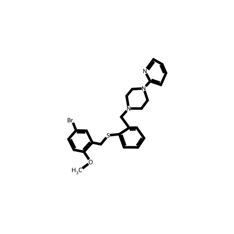 COc1ccc(Br)cc1CSc1ccccc1CN1CCN(c2ccccn2)CC1